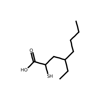 CCCCC(CC)CC(S)C(=O)O